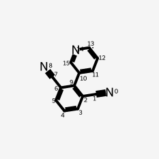 N#Cc1cccc(C#N)c1-c1cc[c]nc1